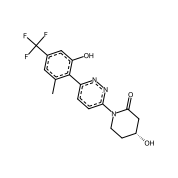 Cc1cc(C(F)(F)F)cc(O)c1-c1ccc(N2CC[C@@H](O)CC2=O)nn1